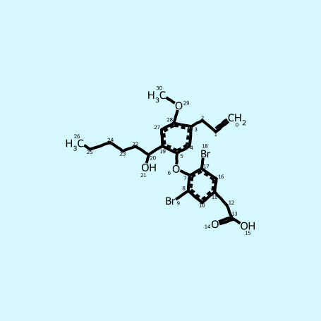 C=CCc1cc(Oc2c(Br)cc(CC(=O)O)cc2Br)c(C(O)CCCCC)cc1OC